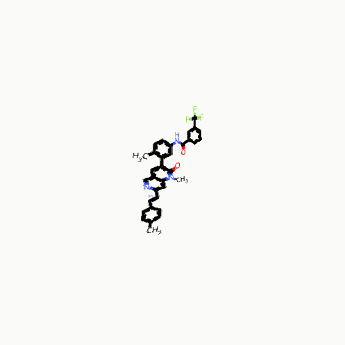 Cc1ccc(/C=C/c2cc3c(cn2)cc(-c2cc(NC(=O)c4cccc(C(F)(F)F)c4)ccc2C)c(=O)n3C)cc1